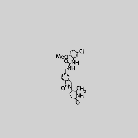 C=C1NC(=O)CCC1N1Cc2cc(CNC(=O)Nc3cc(Cl)ccc3OC)ccc2C1=O